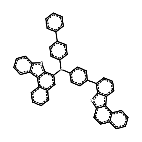 c1ccc(-c2ccc(N(c3ccc(-c4cccc5c4sc4ccc6ccccc6c45)cc3)c3cc4ccccc4c4c3oc3ccccc34)cc2)cc1